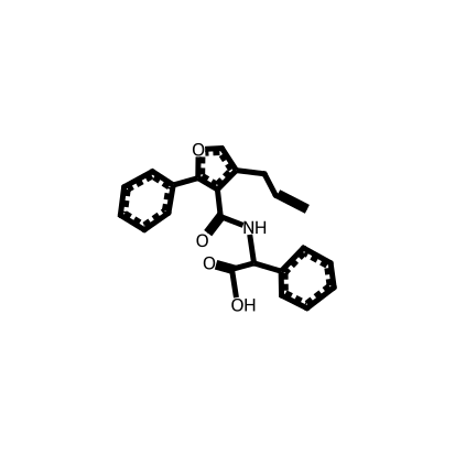 C=CCc1coc(-c2ccccc2)c1C(=O)NC(C(=O)O)c1ccccc1